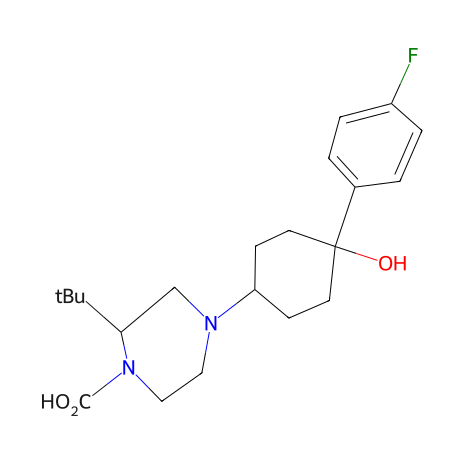 CC(C)(C)C1CN(C2CCC(O)(c3ccc(F)cc3)CC2)CCN1C(=O)O